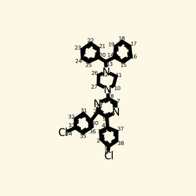 Clc1ccc(-c2ncc(N3CCN(C(c4ccccc4)c4ccccc4)CC3)nc2-c2ccc(Cl)cc2)cc1